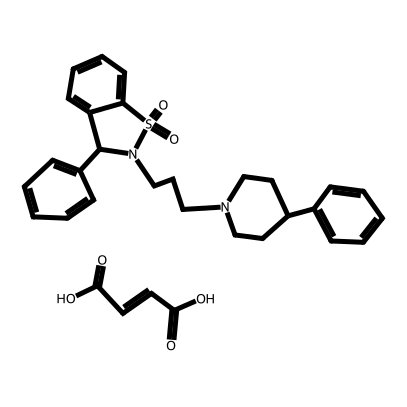 O=C(O)C=CC(=O)O.O=S1(=O)c2ccccc2C(c2ccccc2)N1CCCN1CCC(c2ccccc2)CC1